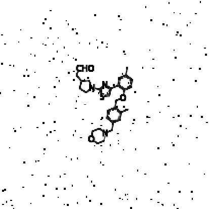 Cc1ccc(OCc2ccc(CN3CCOCC3)cc2C)c(-c2csc(N3CCC(CC=O)C3)n2)c1